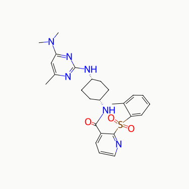 Cc1cc(N(C)C)nc(N[C@H]2CC[C@@H](NC(=O)c3cccnc3S(=O)(=O)c3ccccc3C)CC2)n1